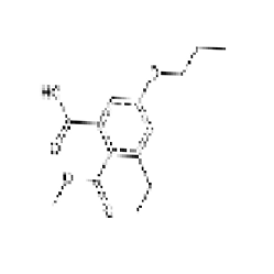 CCCOc1cc(CC)c(C(=O)OC)c(C(=O)O)c1